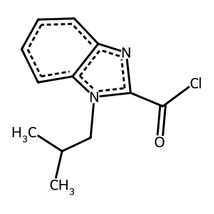 CC(C)Cn1c(C(=O)Cl)nc2ccccc21